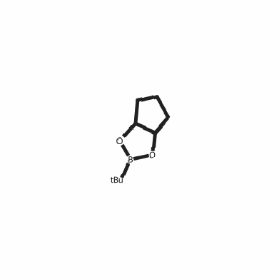 CC(C)(C)B1OC2CCCC2O1